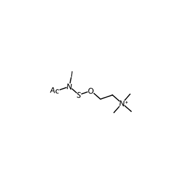 CC(=O)N(I)SOCC[N+](C)(C)C